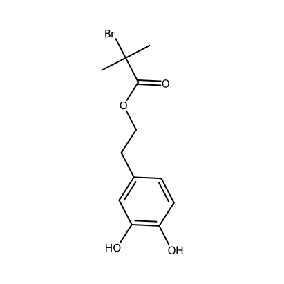 CC(C)(Br)C(=O)OCCc1ccc(O)c(O)c1